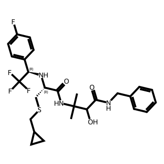 CC(C)(NC(=O)[C@H](CSCC1CC1)N[C@H](c1ccc(F)cc1)C(F)(F)F)C(O)C(=O)NCc1ccccc1